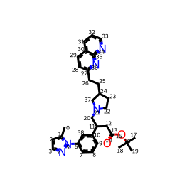 Cc1ccnn1-c1cccc(C(CC(=O)OC(C)(C)C)CN2CCC(CCc3ccc4cccnc4n3)C2)c1